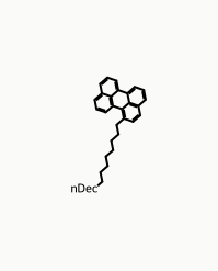 CCCCCCCCCCCCCCCCCCc1ccc2cccc3c4cccc5cccc(c1c23)c54